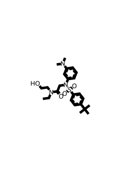 CCN(CCO)C(=O)CN(c1cccc(N(C)C)c1)S(=O)(=O)c1ccc(C(C)(C)C)cc1